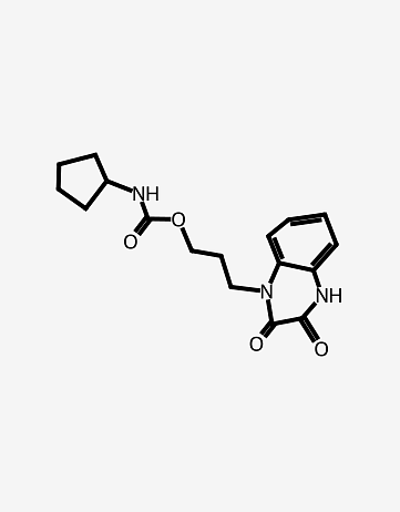 O=C(NC1CCCC1)OCCCn1c(=O)c(=O)[nH]c2ccccc21